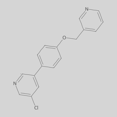 Clc1cn[c]c(-c2ccc(OCc3cccnc3)cc2)c1